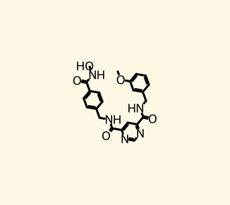 COc1cccc(CNC(=O)c2cc(C(=O)NCc3ccc(C(=O)NO)cc3)ncn2)c1